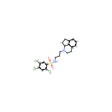 O=S(=O)(NCCCN1CCc2cccc3c2C1CC3)c1cc(Cl)c(Cl)cc1Cl